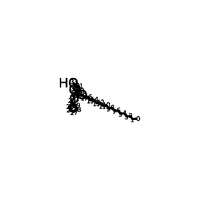 CCCCCCCCCCCCCCCCCCOCC1(COCc2ccccc2)CCC(O)O1